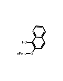 CCCCCOc1ccc2cccnc2c1O